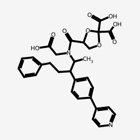 CC(C(CCc1ccccc1)c1ccc(-c2ccncc2)cc1)N(CC(=O)O)C(=O)C1COC(C(=O)O)(C(=O)O)O1